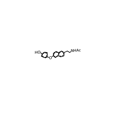 CC(=O)NCCc1ccc2cc(Oc3ccc(O)cc3)ccc2c1